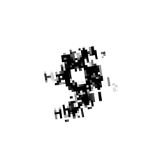 CC(=O)N1C[C@H](CC(=O)N[C@H]2CC(=O)NCCCC[C@@H](C(N)=O)NC(=O)[C@H](Cc3c[nH]c4ccccc34)NC(=O)[C@H](CCCNC(=N)N)NC(=O)[C@@H](Cc3ccccc3)NC(=O)[C@H](CCC(N)=O)NC2=O)NC(=O)[C@@H]1CCCNC(=N)N